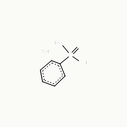 O=P(O)(O)c1ccccc1.[AlH3]